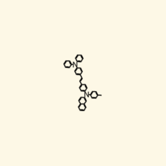 Cc1ccc(N(c2ccc(/C=C/c3ccc(N(c4ccccc4)c4ccccc4)cc3)cc2)c2ccc3ccccc3c2)cc1